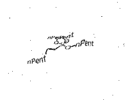 CCCCCC=C[Si](OCCCCC)(OCCCCC)OCCCCC